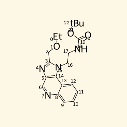 CCOCc1nc2cnc3ccccc3c2n1CCNC(=O)OC(C)(C)C